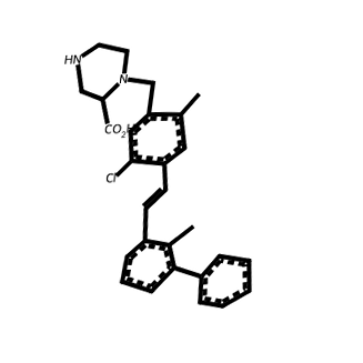 Cc1cc(C=Cc2cccc(-c3ccccc3)c2C)c(Cl)cc1CN1CCNCC1C(=O)O